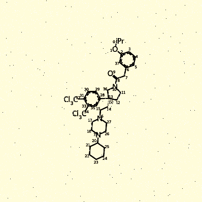 CC(C)Oc1cccc(CC(=O)N2CC[C@@](CCN3CCN(C4CCCCC4)CC3)(c3ccc(C(Cl)(Cl)Cl)c(C(Cl)(Cl)Cl)c3)C2)c1